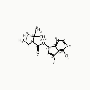 CCN(C(=O)On1cc(I)c2c(Cl)ncnc21)C(C)(C)C